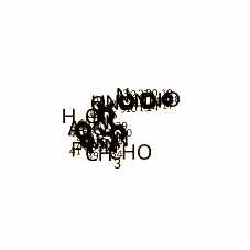 CC(=O)OCc1c(-c2cc(Nc3ccc(N4CCN(C5COC5)CC4)cn3)c(=O)n(C)n2)ccnc1N(C=O)CCn1c(C)c(F)c2c1CCCC2